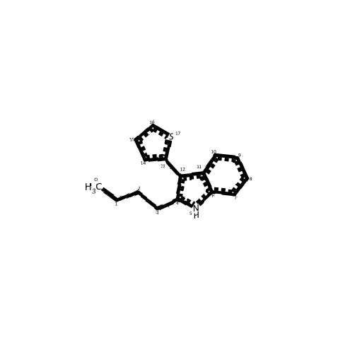 CCCCc1[nH]c2ccccc2c1-c1cccs1